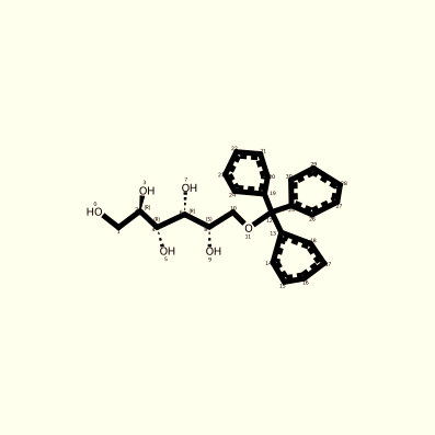 OC[C@@H](O)[C@@H](O)[C@H](O)[C@@H](O)COC(c1ccccc1)(c1ccccc1)c1ccccc1